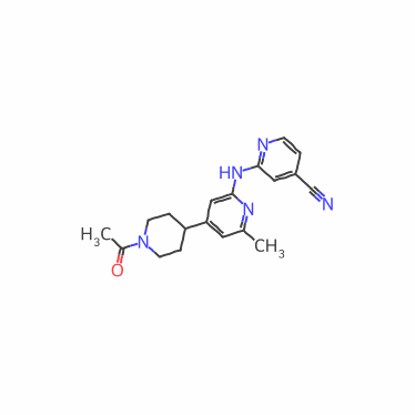 CC(=O)N1CCC(c2cc(C)nc(Nc3cc(C#N)ccn3)c2)CC1